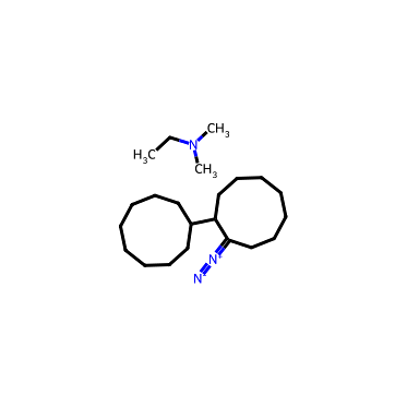 CCN(C)C.[N-]=[N+]=C1CCCCCCCC1C1CCCCCCCC1